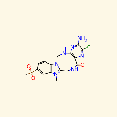 C[n+]1c2n(c3ccc(S(C)(=O)=O)cc31)CNc1nc(N)c(Cl)nc1C(=O)NC2